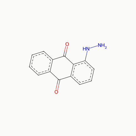 NNc1cccc2c1C(=O)c1ccccc1C2=O